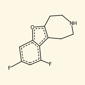 Fc1cc(F)c2c3c(oc2c1)CCNCC3